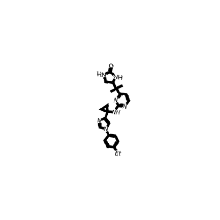 CCc1ccc(-n2cnc(C3(Nc4nccc(C(C)(C)C5CNC(=O)N5)n4)CC3)c2)cc1